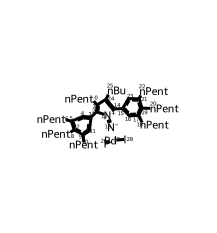 CCCCCC1=C(c2cc(CCCCC)c(CCCCC)c(CCCCC)c2)[N+](=[N-])C(c2cc(CCCCC)c(CCCCC)c(CCCCC)c2)=C1CCCC.[I][Pd][I]